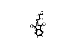 O=C1c2ccccc2C(=O)N1SCCCl